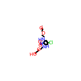 COCCOCCNc1cc(Cl)cc(NCCOCCO)c1[N+](=O)[O-]